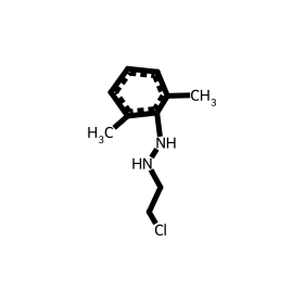 Cc1cccc(C)c1NNCCCl